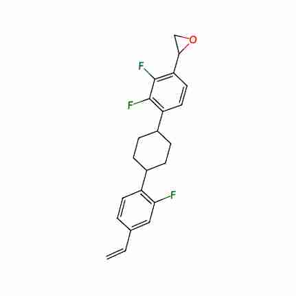 C=Cc1ccc(C2CCC(c3ccc(C4CO4)c(F)c3F)CC2)c(F)c1